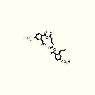 CCCC=C1C=C(C(=O)O)C=CC1C(=O)OC(=O)CCCC(=O)OC(=O)C1C=CC(C(=O)O)=CC1=CCCC